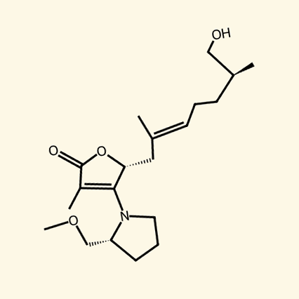 COC[C@H]1CCCN1C1=C(C)C(=O)O[C@@H]1C/C(C)=C/CC[C@H](C)CO